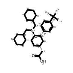 O=C(O)C[C@@H]1CC[C@@H](N(CC2CCCCC2)CC2CCCCC2)[C@H](c2ccc(C(F)(F)F)cc2)C1